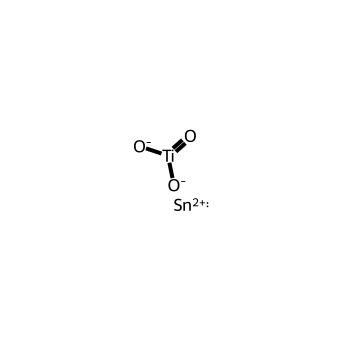 [O]=[Ti]([O-])[O-].[Sn+2]